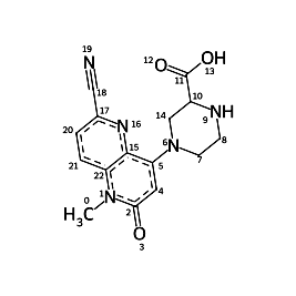 Cn1c(=O)cc(N2CCNC(C(=O)O)C2)c2nc(C#N)ccc21